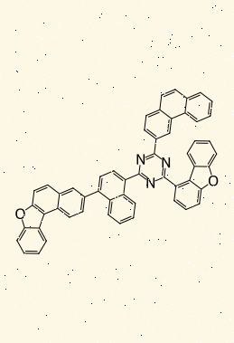 c1ccc2c(c1)ccc1ccc(-c3nc(-c4ccc(-c5ccc6c(ccc7oc8ccccc8c76)c5)c5ccccc45)nc(-c4cccc5oc6ccccc6c45)n3)cc12